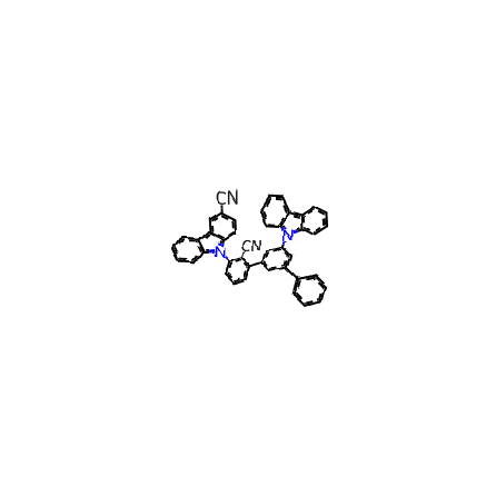 N#Cc1ccc2c(c1)c1ccccc1n2-c1cccc(-c2cc(-c3ccccc3)cc(-n3c4ccccc4c4ccccc43)c2)c1C#N